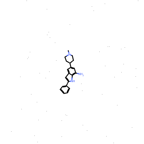 CN1CCC(c2cc(N)c3[nH]c(-c4ccccc4)cc3c2)CC1